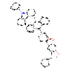 c1ccc(C2COc3cc4oc5cc(-c6c7ccccc7c(-c7cccc8c7c7ccccc7n8-c7ccccc7)c7ccccc67)ccc5c4cc32)cc1